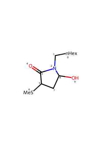 CCCCCCCN1C(=O)C(SC)CC1O